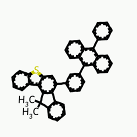 CC1(C)c2ccccc2-c2c(-c3cccc(-c4c5ccccc5c(-c5ccccc5)c5ccccc45)c3)cc3sc4ccccc4c3c21